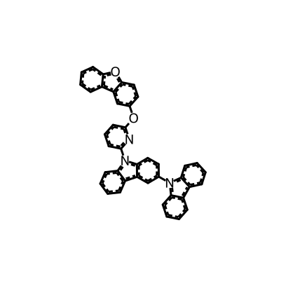 c1cc(Oc2ccc3oc4ccccc4c3c2)nc(-n2c3ccccc3c3cc(-n4c5ccccc5c5ccccc54)ccc32)c1